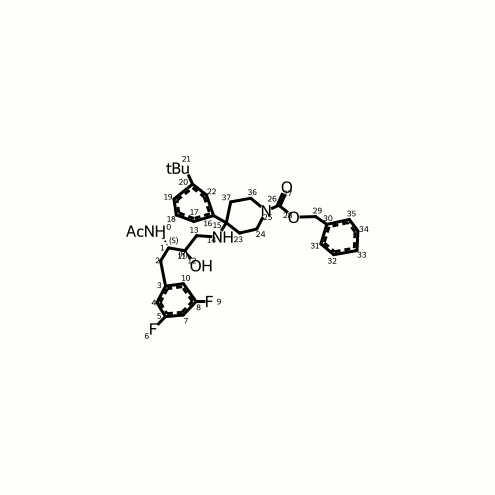 CC(=O)N[C@@H](Cc1cc(F)cc(F)c1)[C@H](O)CNC1(c2cccc(C(C)(C)C)c2)CCN(C(=O)OCc2ccccc2)CC1